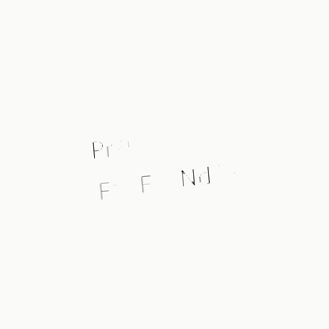 [F-].[F-].[Nd+3].[Pr+3]